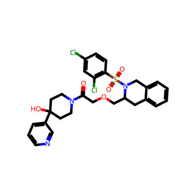 O=C(COCC1Cc2ccccc2CN1S(=O)(=O)c1ccc(Cl)cc1Cl)N1CCC(O)(c2cccnc2)CC1